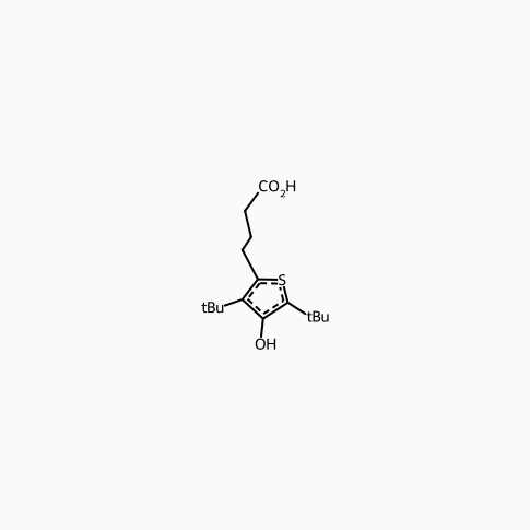 CC(C)(C)c1sc(CCCC(=O)O)c(C(C)(C)C)c1O